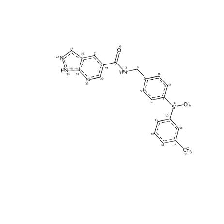 O=C(NCc1ccc([S+]([O-])c2cccc(C(F)(F)F)c2)cc1)c1cnc2[nH]ncc2c1